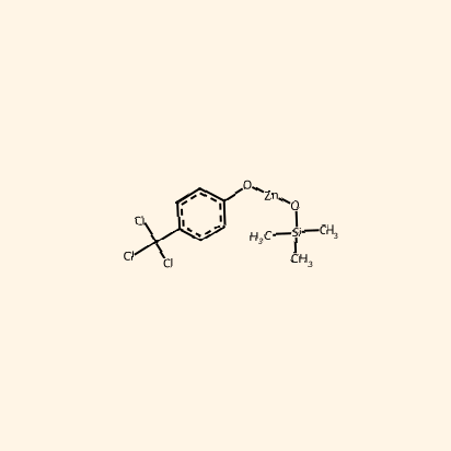 C[Si](C)(C)[O][Zn][O]c1ccc(C(Cl)(Cl)Cl)cc1